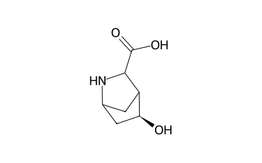 O=C(O)C1NC2CC1[C@@H](O)C2